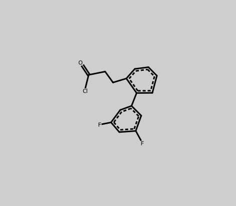 O=C(Cl)CCc1ccccc1-c1cc(F)cc(F)c1